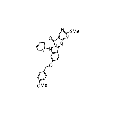 COc1ccc(COc2ccc3c(c2)n(-c2ccccn2)n2c(=O)c4cnc(SC)nc4nc32)cc1